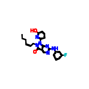 CCC/C=C\Cn1c(=O)c2cnc(Nc3cccc(F)c3)nc2n1-c1cccc(O)n1